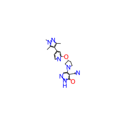 Cc1nn(C)c(C)c1-c1ccnc(O[C@@H]2CCN(c3cn[nH]c(=O)c3C#N)C2)c1